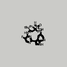 CC(C)C(C[C@@H](Nc1nc(-c2c[nH]c3ncc(F)cc23)ncc1F)C(C)(C)C)(C(C)C)P(=O)(O)O